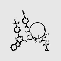 N#Cc1ccc(N[C@H]2CCCCC/C=C\[C@@H]3C[C@@]3(C(=O)NS(=O)(=O)C3CC3)NC(=O)[C@@H]3C[C@@H](Oc4nc(-c5ccc(C(F)(F)F)cc5)nc5c4oc4ccccc45)CN3C2=O)cc1